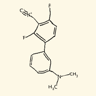 [C-]#[N+]c1c(F)ccc(-c2cccc(N(C)C)c2)c1F